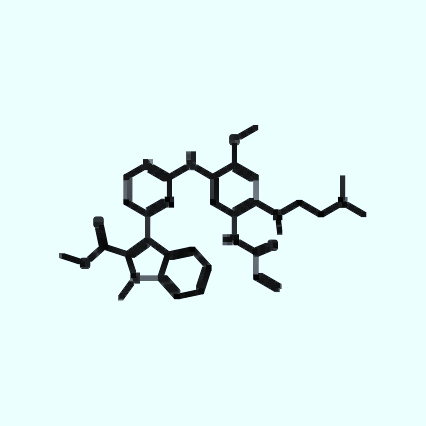 C=CC(=O)Nc1cc(Nc2nccc(-c3c(C(=O)OC)n(C)c4ccccc34)n2)c(OC)cc1N(C)CCN(C)C